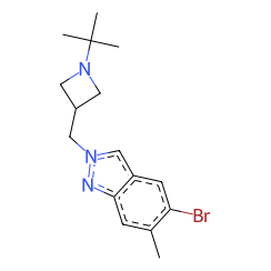 Cc1cc2nn(CC3CN(C(C)(C)C)C3)cc2cc1Br